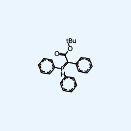 CC(C)(C)OC(=O)C(c1ccccc1)=[PH](c1ccccc1)c1ccccc1